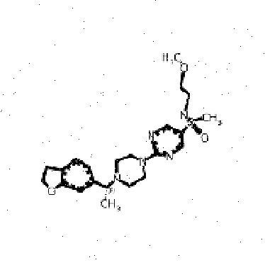 COCCN=S(C)(=O)c1cnc(N2CCN([C@H](C)c3ccc4c(c3)OCC4)CC2)nc1